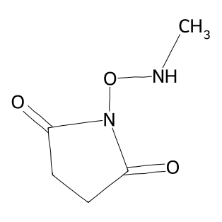 CNON1C(=O)CCC1=O